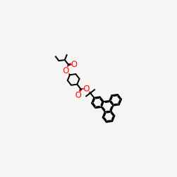 CCC(C)C(=O)OC1CCC(C(=O)OC(C)(C)c2ccc3c4ccccc4c4ccccc4c3c2)CC1